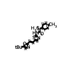 CN1CCC(N(C)C(=O)Nc2ncc(C=Cc3ncc(C(C)(C)C)o3)s2)CC1